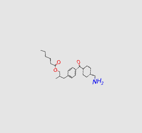 CCCCCC(=O)OCC(C)Cc1ccc(C(=O)C2CCC(CN)CC2)cc1